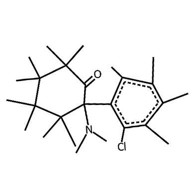 Cc1c(C)c(C)c(C2(N(C)C)C(=O)C(C)(C)C(C)(C)C(C)(C)C2(C)C)c(Cl)c1C